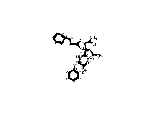 CC(=O)S[C@@](CC(C)C)(NC(=O)CCc1ccccc1)C(=O)N[C@@H](Cc1ccccc1)C(=O)O